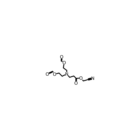 N#CCOC(=O)CCN(CCOC=O)CCOC=O